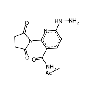 CC(C)=O.NNc1ccc(C(N)=O)c(N2C(=O)CCC2=O)n1